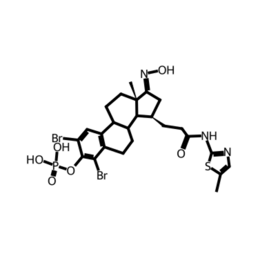 Cc1cnc(NC(=O)CC[C@@H]2C/C(=N\O)[C@@]3(C)CCC4c5cc(Br)c(OP(=O)(O)O)c(Br)c5CCC4C23)s1